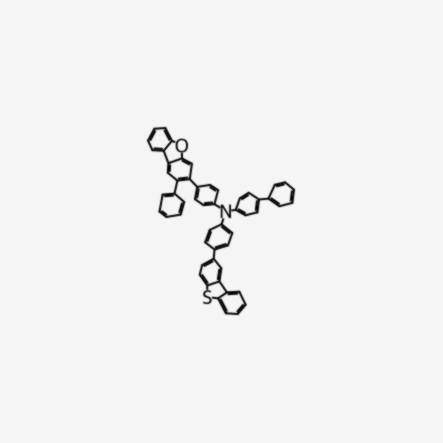 c1ccc(-c2ccc(N(c3ccc(-c4ccc5sc6ccccc6c5c4)cc3)c3ccc(-c4cc5oc6ccccc6c5cc4-c4ccccc4)cc3)cc2)cc1